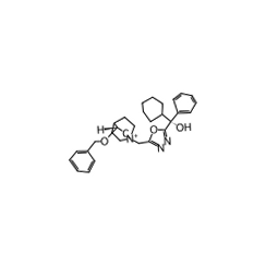 O[C@](c1ccccc1)(c1nnc(C[N+]23CCC(CC2)[C@@H](OCc2ccccc2)C3)o1)C1CCCCC1